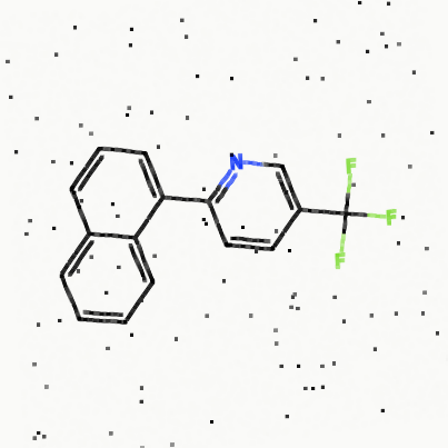 FC(F)(F)c1ccc(-c2cccc3ccccc23)nc1